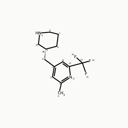 Cc1cc(C[C@H]2CCCNC2)cc(C(F)(F)F)n1